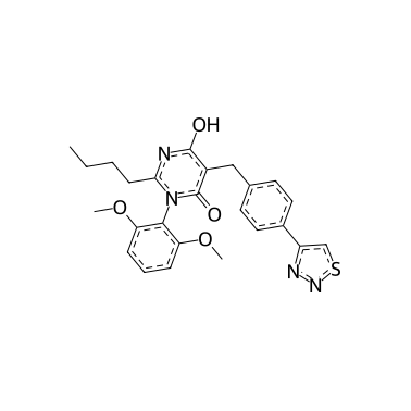 CCCCc1nc(O)c(Cc2ccc(-c3csnn3)cc2)c(=O)n1-c1c(OC)cccc1OC